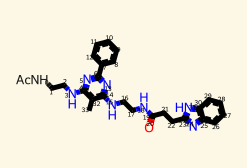 CC(=O)NCCNc1nc(-c2ccccc2)nc(NCCNC(=O)CCc2nc3ccccc3[nH]2)c1C